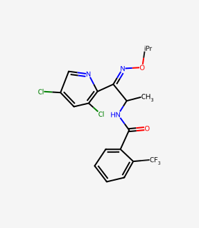 CC(C)ON=C(c1ncc(Cl)cc1Cl)C(C)NC(=O)c1ccccc1C(F)(F)F